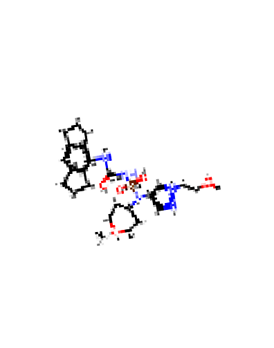 COCCn1cc(N(C2CCOCC2)S(=O)(=O)NC(=O)Nc2c3c(cc4c2CCC4)CCC3)cn1.[Na]